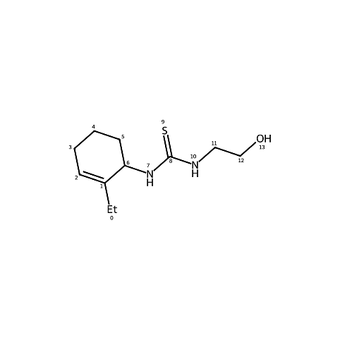 CCC1=CCCCC1NC(=S)NCCO